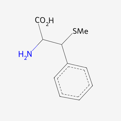 CSC(c1ccccc1)C(N)C(=O)O